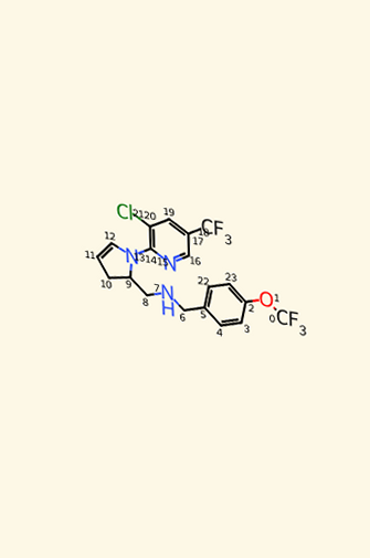 FC(F)(F)Oc1ccc(CNCC2CC=CN2c2ncc(C(F)(F)F)cc2Cl)cc1